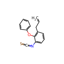 C=CCc1cccc(N=C=S)c1Oc1ccccc1